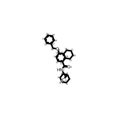 O=C(NC1CN2CCC1CC2)c1ccc(OCc2ccccc2)c2c1CCCC2